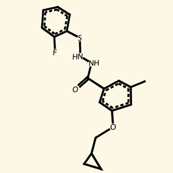 Cc1cc(OCC2CC2)cc(C(=O)NNSc2ccccc2F)c1